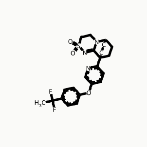 CC(F)(F)c1ccc(Oc2ccc(C34CCC(CC3)N3CCS(=O)(=O)N=C34)nc2)cc1